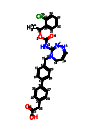 CC(OC(=O)NC1=NN=C=CCN1Cc1ccc(-c2ccc(CC(=O)O)cc2)cc1)c1ccccc1Cl